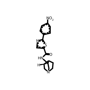 O=C(N[C@H]1CN2CCC1CC2)c1cnc(-c2ccc([N+](=O)[O-])cc2)s1